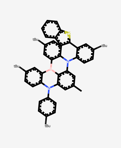 Cc1cc2c3c(c1)N(c1ccc(C(C)(C)C)cc1-c1cc4ccccc4s1)c1ccc(C(C)(C)C)cc1B3c1cc(C(C)(C)C)ccc1N2c1ccc(C(C)(C)C)cc1